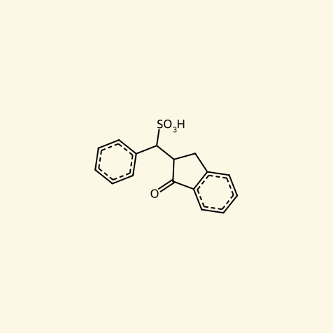 O=C1c2ccccc2CC1C(c1ccccc1)S(=O)(=O)O